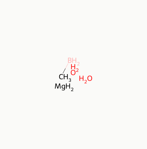 BC.O.O.[MgH2]